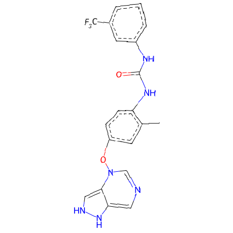 Cc1cc(ON2C=NC=C3NNC=C32)ccc1NC(=O)Nc1cccc(C(F)(F)F)c1